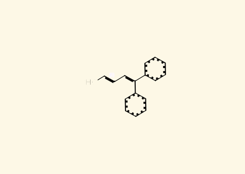 O=C/C=C/C=C(c1ccccc1)c1ccccc1